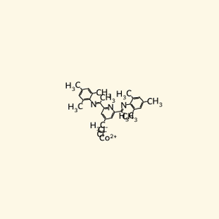 CC(=Nc1c(C)cc(C)cc1C)c1cc(C)cc(C(C)=Nc2c(C)cc(C)cc2C)n1.[Cl-].[Cl-].[Co+2]